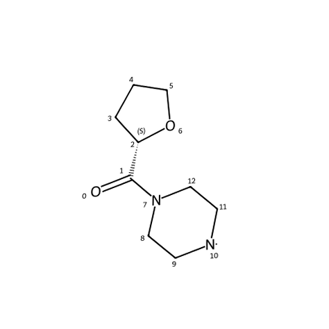 O=C([C@@H]1CCCO1)N1CC[N]CC1